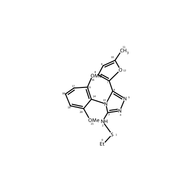 CCSNc1nnc(-c2ccc(C)o2)n1-c1c(OC)cccc1OC